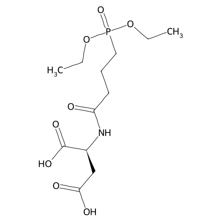 CCOP(=O)(CCCC(=O)N[C@@H](CC(=O)O)C(=O)O)OCC